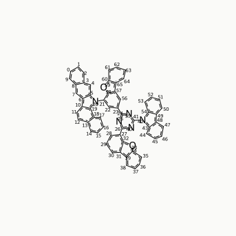 c1ccc2cc3c(cc2c1)c1ccc2ccccc2c1n3-c1cc(-c2nc(-c3cccc4c3oc3ccccc34)nc(-n3c4ccccc4c4ccccc43)n2)cc2c1oc1ccccc12